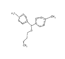 CCCCOP(c1ccc(C)cc1)c1ccc(C)cc1